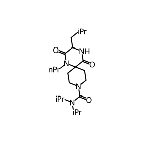 CCCN1C(=O)C(CC(C)C)NC(=O)C12CCN(C(=O)N(C(C)C)C(C)C)CC2